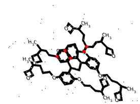 CC(CCCOc1ccc(OCCCC(C)C2COC2)c(C(CC(c2cc(OCCCC(C)C3COC3)ccc2OCCCC(C)C2COC2)c2cc(OCCCC(C)C3COC3)ccc2OCCCC(C)C2COC2)c2ccccc2)c1)C1COC1